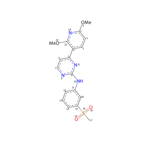 COc1ccc(-c2ccnc(Nc3cccc(S(C)(=O)=O)c3)n2)c(OC)n1